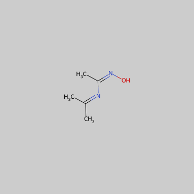 CC(C)=N/C(C)=N\O